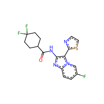 O=C(Nc1nc2ccc(F)cn2c1-c1nccs1)C1CCC(F)(F)CC1